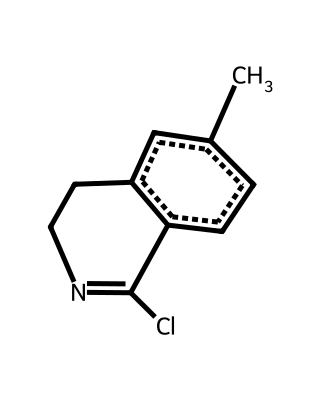 Cc1ccc2c(c1)CCN=C2Cl